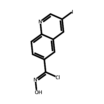 O/N=C(\Cl)c1ccc2ncc(I)cc2c1